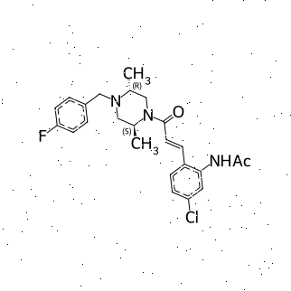 CC(=O)Nc1cc(Cl)ccc1C=CC(=O)N1C[C@@H](C)N(Cc2ccc(F)cc2)C[C@@H]1C